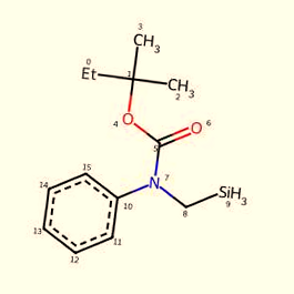 CCC(C)(C)OC(=O)N(C[SiH3])c1ccccc1